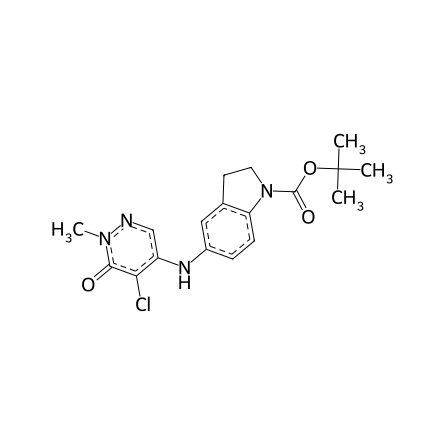 Cn1ncc(Nc2ccc3c(c2)CCN3C(=O)OC(C)(C)C)c(Cl)c1=O